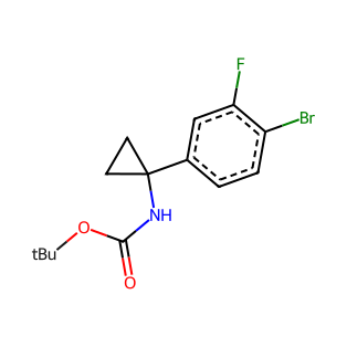 CC(C)(C)OC(=O)NC1(c2ccc(Br)c(F)c2)CC1